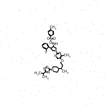 Cc1ccc(S(=O)(=O)ONC2CN(c3ncc(OCC[C@@H](C)C4CCN(c5nc(C(C)C)no5)CC4)c(C)n3)CC2c2ccccc2F)cc1